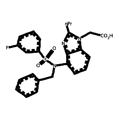 CCCc1nc2c(N(Cc3ccccc3)S(=O)(=O)c3cccc(F)c3)cccc2n1CC(=O)O